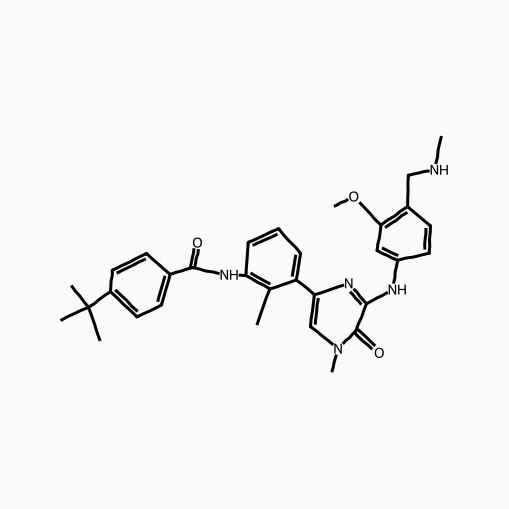 CNCc1ccc(Nc2nc(-c3cccc(NC(=O)c4ccc(C(C)(C)C)cc4)c3C)cn(C)c2=O)cc1OC